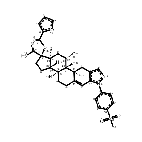 C[C@]12Cc3cnn(-c4ccc(S(C)(=O)=O)cc4)c3C=C1CC[C@@H]1[C@@H]2[C@@H](O)C[C@@]2(C)[C@H]1CC[C@]2(OC(=O)c1ccco1)C(=O)S